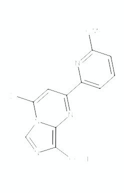 CCc1cc(-c2cccc(OC)n2)nc2c(C(=O)O)ncn12